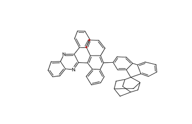 c1ccc(-c2nc3ccccc3nc2-c2c3ccccc3c(-c3ccc4c(c3)C3(c5ccccc5-4)C4CC5CC(C4)CC3C5)c3ccccc23)cc1